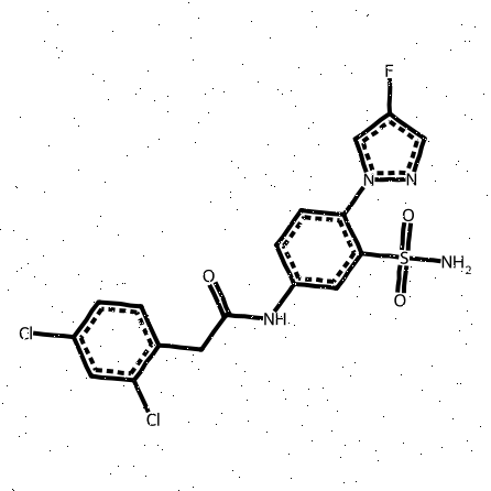 NS(=O)(=O)c1cc(NC(=O)Cc2ccc(Cl)cc2Cl)ccc1-n1cc(F)cn1